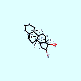 C[C@]12CCCCC1=CC[C@@H]1[C@H]2CC[C@]2(C)C(O)C(Br)C[C@@H]12